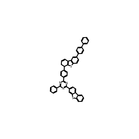 C1=Cc2c(sc3ccc(-c4ccc(-c5ccccc5)cc4)cc23)C(c2ccc(-c3nc(-c4ccccc4)nc(-c4ccc5c(c4)sc4ccccc45)n3)cc2)C1